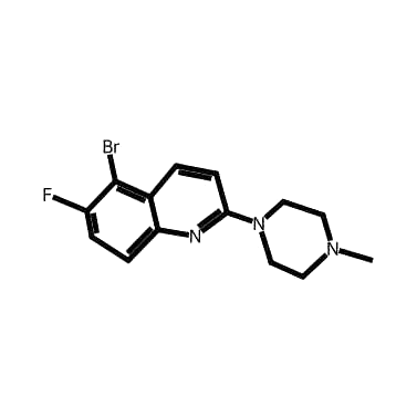 CN1CCN(c2ccc3c(Br)c(F)ccc3n2)CC1